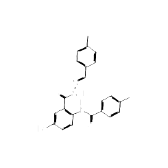 Cc1ccc(C=NNC(=O)c2cc(Br)ccc2NC(=O)c2ccc(C)cc2)cc1